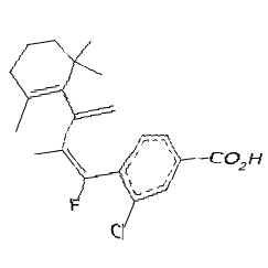 C=C(C(C)=C(F)c1ccc(C(=O)O)cc1Cl)C1=C(C)CCCC1(C)C